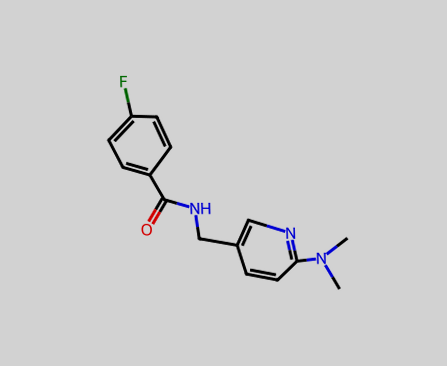 CN(C)c1ccc(CNC(=O)c2ccc(F)cc2)cn1